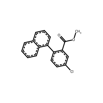 COC(=O)c1cc(Cl)ccc1-c1cccc2ccccc12